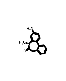 CN1C(=O)Cc2ccccc2-c2ccc(N)cc21